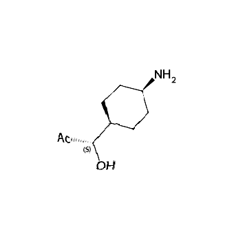 CC(=O)[C@@H](O)[C@H]1CC[C@@H](N)CC1